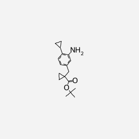 CC(C)(C)OC(=O)C1(Cc2ccc(C3CC3)c(N)c2)CC1